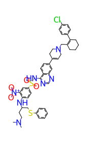 CN(C)CCC(CSc1ccccc1)Nc1ccc(S(=O)(=O)Nc2ncnc3cc(C4=CCN(CC5=C(c6ccc(Cl)cc6)CCCC5)CC4)ccc23)cc1[N+](=O)[O-]